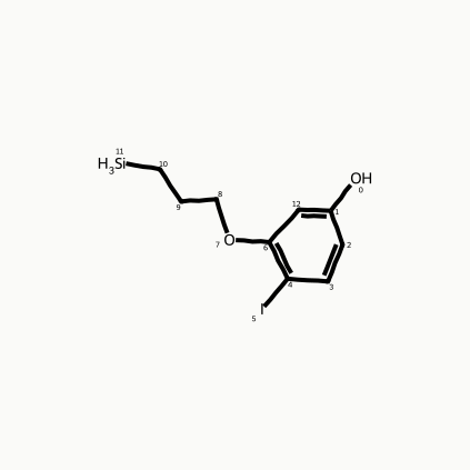 Oc1ccc(I)c(OCCC[SiH3])c1